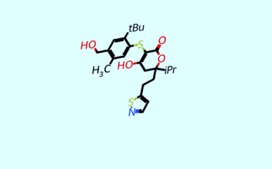 Cc1cc(SC2=C(O)CC(CCc3ccns3)(C(C)C)OC2=O)c(C(C)(C)C)cc1CO